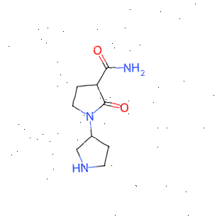 NC(=O)C1CCN(C2CCNC2)C1=O